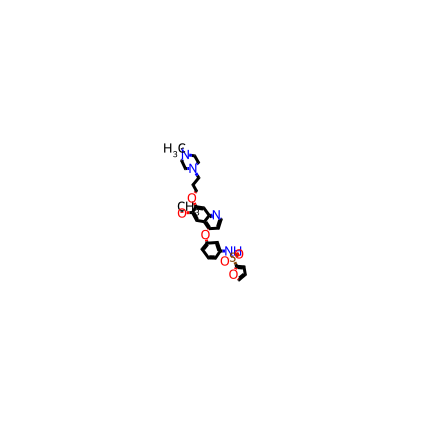 COc1cc2c(Oc3cccc(NS(=O)(=O)c4ccco4)c3)ccnc2cc1OCCCN1CCN(C)CC1